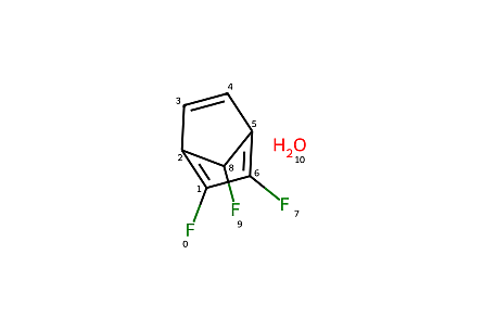 FC1=C2C=CC(=C1F)C2F.O